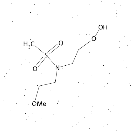 COCCN(CCOO)S(C)(=O)=O